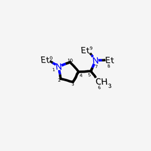 CCN1CCC(C(C)N(CC)CC)C1